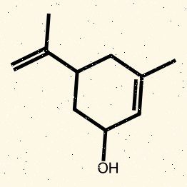 C=C(C)C1CC(C)=CC(O)C1